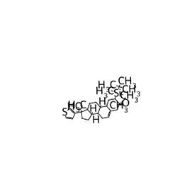 CC(C)(C)[Si](C)(C)C1C[C@@]2(C)C(=CC[C@@H]3[C@@H]2CC[C@@]2(C)[C@H]3CCC2(O)c2ccsc2)CC1=O